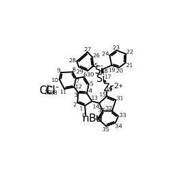 CCCCC1=Cc2c(ccc3ccccc23)C1C1[C]([Zr+2]=[Si]=[Si](c2ccccc2)c2ccccc2)=Cc2ccccc21.[Cl-].[Cl-]